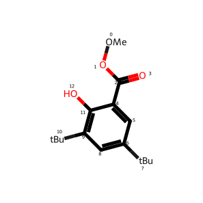 COOC(=O)c1cc(C(C)(C)C)cc(C(C)(C)C)c1O